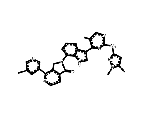 Cc1cncc(-c2nccc3c2CN(c2cccc4c(-c5nc(Nc6cc(C)n(C)n6)ncc5C)c[nH]c24)C3=O)c1